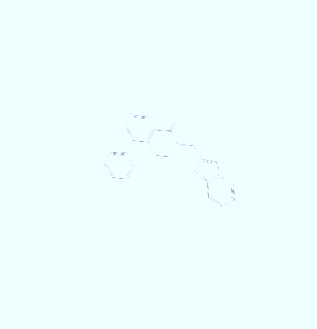 Cc1ccc2nc(CN3CCc4c(cncc4-c4ccccn4)C3=O)cn2c1